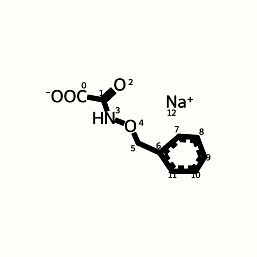 O=C([O-])C(=O)NOCc1ccccc1.[Na+]